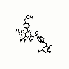 Cc1c(-c2ccc(CO)cc2)nc2c(C(=O)N3CC4CCC3CN4Cc3cc(F)cc(F)c3F)cnn2c1C(F)(F)F